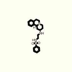 O=S(=O)(NCCN[C@@H]1CCN2CCc3ccccc3[C@@H]2C1)c1ccccc1